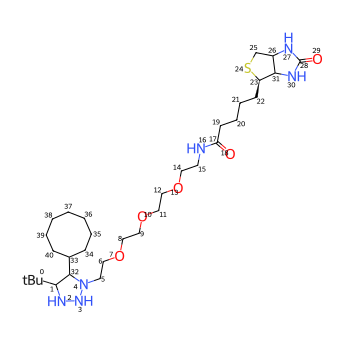 CC(C)(C)C1NNN(CCOCCOCCOCCNC(=O)CCCC[C@H]2SCC3NC(=O)NC32)C1C1CCCCCCC1